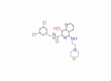 O=C(NCc1cc(Cl)cc(Cl)c1)c1nc(NCCN2CCOCC2)c2cccnc2c1O